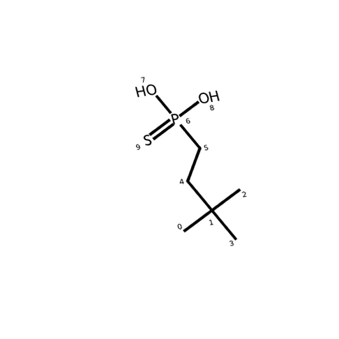 CC(C)(C)CCP(O)(O)=S